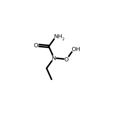 CCN(OO)C(N)=O